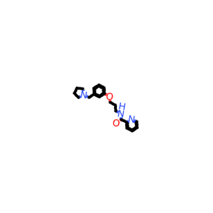 O=C(NCCCOc1cccc(CN2CCCC2)c1)c1ccccn1